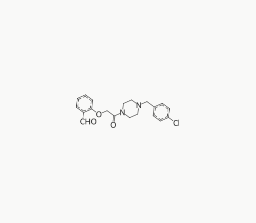 O=Cc1ccccc1OCC(=O)N1CCN(Cc2ccc(Cl)cc2)CC1